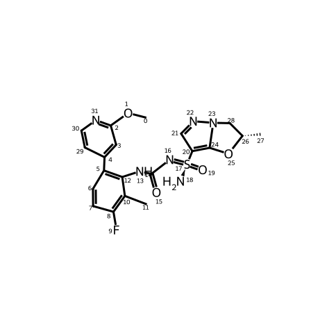 COc1cc(-c2ccc(F)c(C)c2NC(=O)N=[S@@](N)(=O)c2cnn3c2O[C@@H](C)C3)ccn1